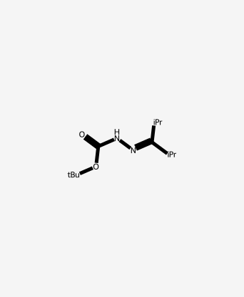 CC(C)C(=NNC(=O)OC(C)(C)C)C(C)C